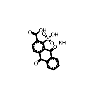 O=C1c2ccccc2C(=O)c2c1ccc(C(=O)O)c2S(=O)(=O)O.[KH]